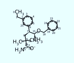 CCc1cccc([C@H](CC(C)(C)[S+](N)[O-])[C@H](C)OCc2ccccc2)c1